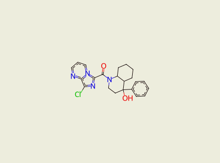 O=C(c1nc(Cl)c2ncccn12)N1CCC(O)(c2ccccc2)C2CCCCC21